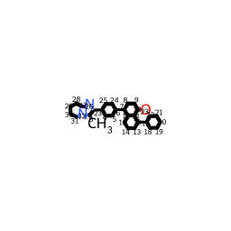 Cc1c(-c2ccc(-c3ccc4c5c(cccc35)-c3ccccc3O4)cc2)nc2ccccn12